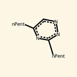 CCCCCc1cnnc(CCCCC)n1